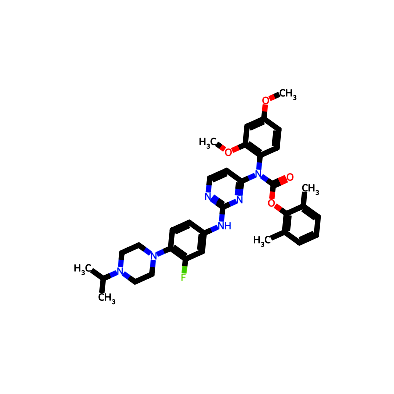 COc1ccc(N(C(=O)Oc2c(C)cccc2C)c2ccnc(Nc3ccc(N4CCN(C(C)C)CC4)c(F)c3)n2)c(OC)c1